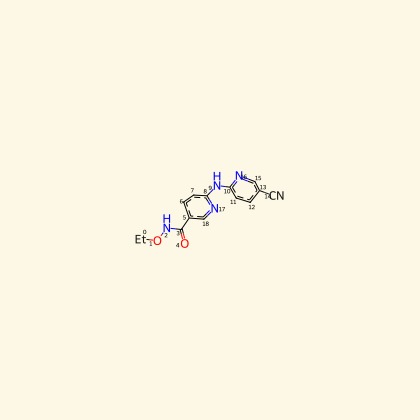 CCONC(=O)c1ccc(Nc2ccc(C#N)cn2)nc1